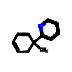 [CH2]C1(c2ccccn2)C=CC=CC1